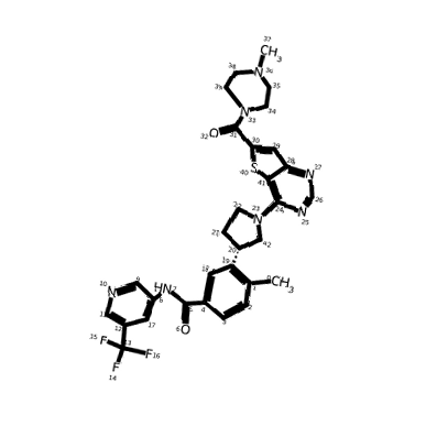 Cc1ccc(C(=O)Nc2cncc(C(F)(F)F)c2)cc1[C@@H]1CCN(c2ncnc3cc(C(=O)N4CCN(C)CC4)sc23)C1